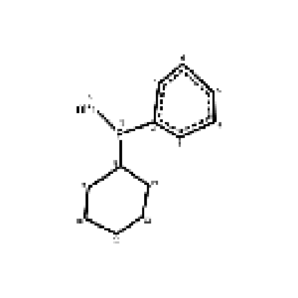 CCCP(c1ccccc1)C1CCCCC1